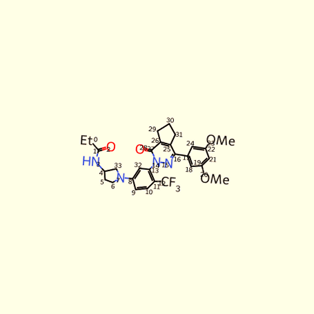 CCC(=O)NC1CCN(c2ccc(C(F)(F)F)c(-n3nc(-c4cc(OC)cc(OC)c4)c4c(c3=O)CCC4)c2)C1